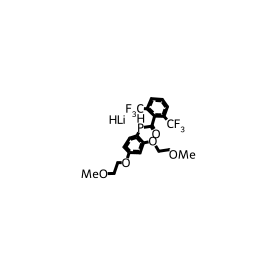 COCCOc1ccc(PC(=O)c2c(C(F)(F)F)cccc2C(F)(F)F)c(OCCOC)c1.[LiH]